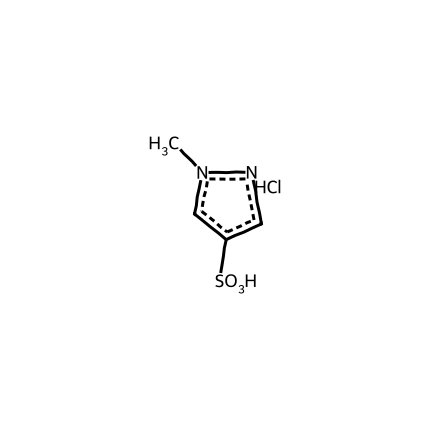 Cl.Cn1cc(S(=O)(=O)O)cn1